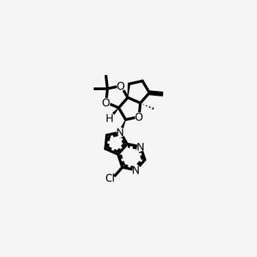 C=C1CC[C@]23OC(C)(C)O[C@H]2[C@H](n2ccc4c(Cl)ncnc42)O[C@]13C